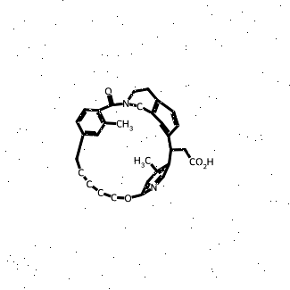 Cc1cc2ccc1C(=O)N1CCc3ccc(cc3C1)C(CC(=O)O)c1cnc(cc1C)OCCCCC2